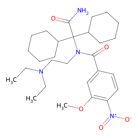 CCN(CC)CCN(C(=O)c1ccc([N+](=O)[O-])c(OC)c1)C(C(N)=O)(C1CCCCC1)C1CCCCC1